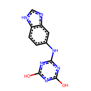 Oc1nc(O)nc(Nc2ccc3[nH]cnc3c2)n1